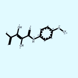 C=C(C)/C(O)=C(\C#N)C(=S)Nc1ccc(OC(F)(F)F)cc1